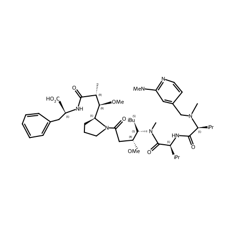 CC[C@H](C)[C@@H]([C@@H](CC(=O)N1CCC[C@H]1[C@H](OC)[C@@H](C)C(=O)N[C@@H](Cc1ccccc1)C(=O)O)OC)N(C)C(=O)[C@@H](NC(=O)[C@H](C(C)C)N(C)Cc1ccnc(NC)c1)C(C)C